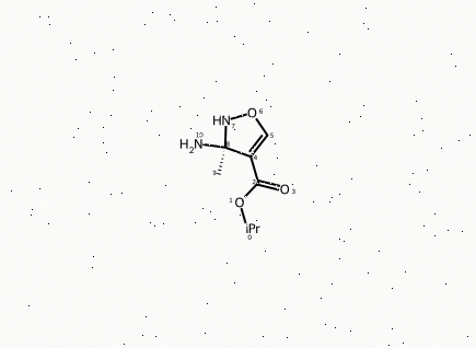 CC(C)OC(=O)C1=CON[C@]1(C)N